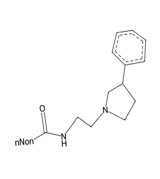 CCCCCCCCCC(=O)NCCN1CCC(c2ccccc2)C1